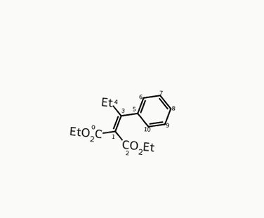 CCOC(=O)C(C(=O)OCC)=C(CC)c1ccccc1